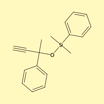 C#CC(C)(O[Si](C)(C)c1ccccc1)c1ccccc1